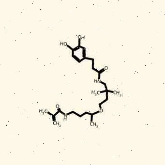 C=C(C)C(=O)NCCCC(C)OCCC(C)(C)CNC(=O)CCc1ccc(O)c(O)c1